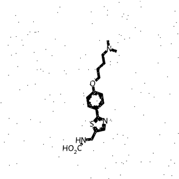 CN(C)CCCCOc1ccc(-c2ncc(CNC(=O)O)s2)cc1